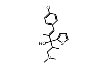 C/C(=C\c1ccc(Cl)cc1)C(O)(c1cccs1)C(C)CN(C)C